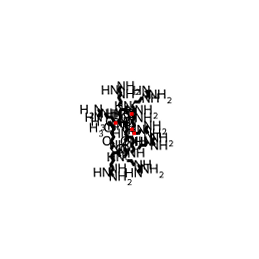 CC(C)(C)CCCC(=O)NC[C@H](CCCNC(=N)N)C(=O)N[C@@H](CCCNC(=N)N)C(=O)N[C@@H](CCCNC(=N)N)C(=O)N[C@@H](CCCNC(=N)N)C(=O)N[C@@H](CCCNC(=N)N)C(=O)N[C@@H](CCCNC(=N)N)C(=O)N[C@@H](CCCNC(=N)N)C(=O)N[C@@H](CCCNC(=N)N)C(N)=O